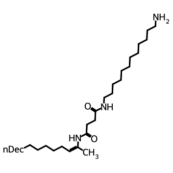 CCCCCCCCCCCCCCCC=C(C)NC(=O)CCC(=O)NCCCCCCCCCCCCN